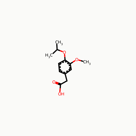 COc1cc(CC(=O)O)ccc1OC(C)C